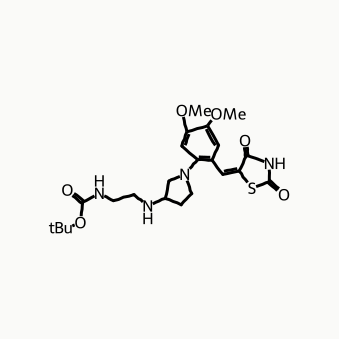 COc1cc(C=C2SC(=O)NC2=O)c(N2CCC(NCCNC(=O)OC(C)(C)C)C2)cc1OC